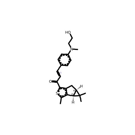 Cc1sc(C(=O)/C=C/c2ccc(N(C)CCO)cc2)c2c1[C@H]1[C@@H](C2)C1(C)C